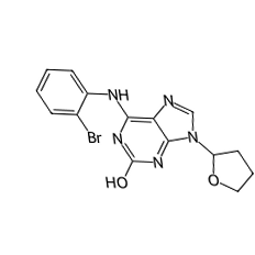 Oc1nc(Nc2ccccc2Br)c2ncn(C3CCCO3)c2n1